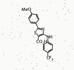 COc1ccc(-c2nc(Nc3ccc(C(F)(F)F)cc3)c(C(=O)O)s2)cc1